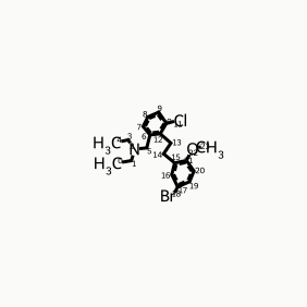 CCN(CC)Cc1cccc(Cl)c1CCc1cc(Br)ccc1OC